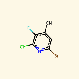 N#Cc1cc(Br)nc(Cl)c1F